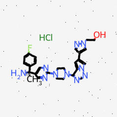 C[C@](N)(c1ccc(F)cc1)c1cnc(N2CCN(c3ncnn4cc(-c5cnn(CCO)c5)cc34)CC2)nc1.Cl